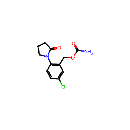 NC(=O)OCc1cc(Cl)ccc1N1CCCC1=O